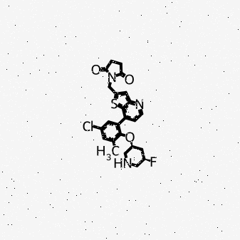 Cc1cc(Cl)cc(-c2ccnc3cc(CN4C(=O)CCC4=O)sc23)c1O[C@@H]1CNC[C@H](F)C1